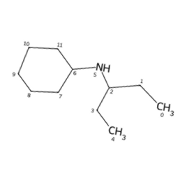 CCC(CC)NC1CCCCC1